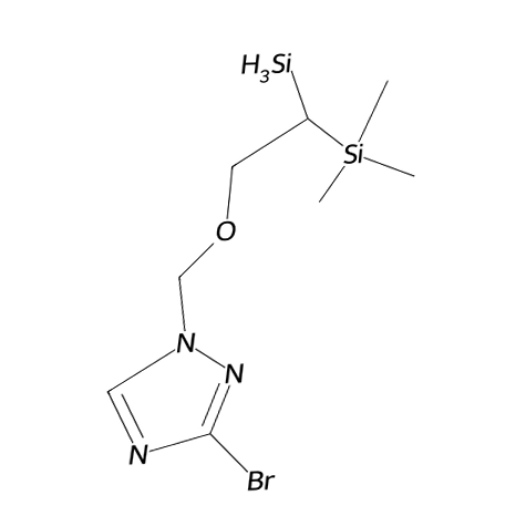 C[Si](C)(C)C([SiH3])COCn1cnc(Br)n1